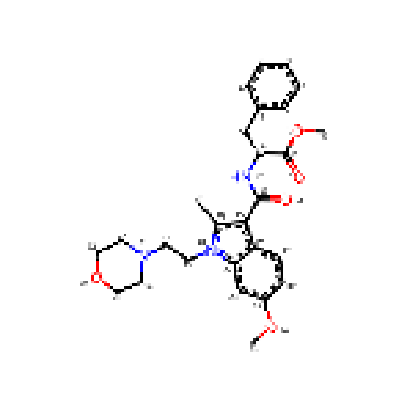 COC(=O)[C@H](Cc1ccccc1)NC(=O)c1c(C)n(CCN2CCOCC2)c2cc(OC)ccc12